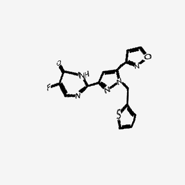 O=c1[nH]c(-c2cc(-c3ccon3)n(Cc3cccs3)n2)ncc1F